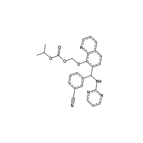 CC(C)OC(=O)OCOc1c(C(Nc2ncccn2)c2cccc(C#N)c2)ccc2cccnc12